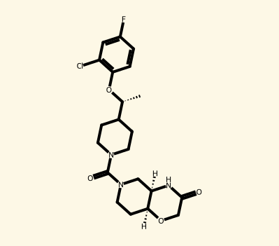 C[C@@H](Oc1ccc(F)cc1Cl)C1CCN(C(=O)N2CC[C@@H]3OCC(=O)N[C@@H]3C2)CC1